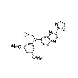 COc1cc(OC)cc(N(CC2CC2)c2ccc3ncc(-c4nccn4C)nc3c2)c1